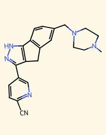 CN1CCN(Cc2ccc3c(c2)Cc2c(-c4ccc(C#N)nc4)n[nH]c2-3)CC1